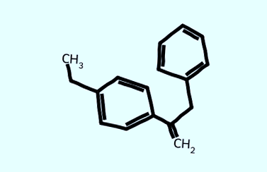 C=C(Cc1ccccc1)c1ccc(CC)cc1